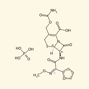 CO/N=C(\C(=O)N[C@@H]1C(=O)N2C(C(=O)O)=C(COC(N)=O)CS[C@H]12)c1ccco1.O=P(O)(O)O